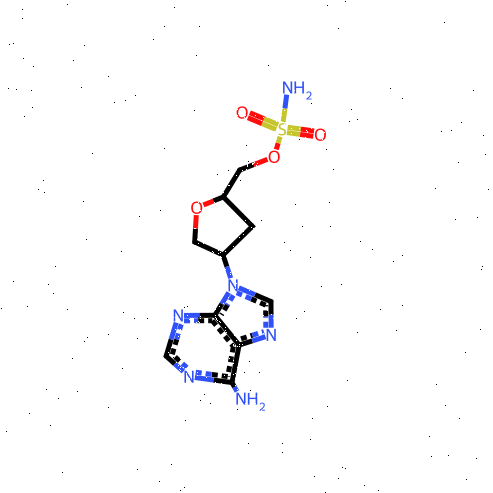 Nc1ncnc2c1ncn2C1COC(COS(N)(=O)=O)C1